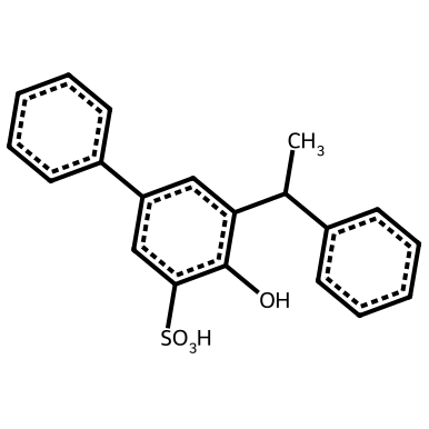 CC(c1ccccc1)c1cc(-c2ccccc2)cc(S(=O)(=O)O)c1O